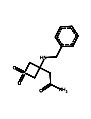 NC(=O)CC1(NCc2ccccc2)CS(=O)(=O)C1